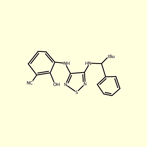 CC(C)(C)C(Nc1nsnc1Nc1cccc(C#N)c1O)c1ccccc1